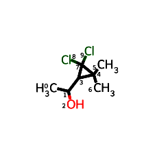 CC(O)C1C(C)(C)C1(Cl)Cl